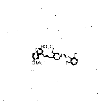 COc1ccc2nccc(CCCC3CCN(CCCc4c(F)cccc4F)CC3CCC(=O)O)c2c1